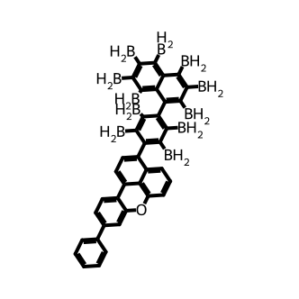 Bc1c(B)c(-c2c(B)c(B)c(B)c3c(B)c(B)c(B)c(B)c23)c(B)c(B)c1-c1ccc2c3c(cccc13)Oc1cc(-c3ccccc3)ccc1-2